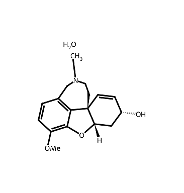 COc1ccc2c3c1O[C@H]1C[C@@H](O)C=C[C@@]31CCN(C)C2.O